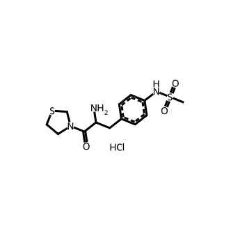 CS(=O)(=O)Nc1ccc(CC(N)C(=O)N2CCSC2)cc1.Cl